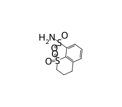 NS(=O)(=O)c1cccc2c1S(=O)(=O)CCC2